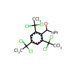 CCCC([O])c1c(C(Cl)(Cl)C(Cl)(Cl)Cl)cc(C(Cl)(Cl)C(Cl)(Cl)Cl)cc1C(Cl)(Cl)C(Cl)(Cl)Cl